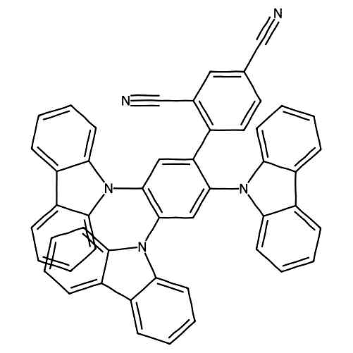 N#Cc1ccc(-c2cc(-n3c4ccccc4c4ccccc43)c(-n3c4ccccc4c4ccccc43)cc2-n2c3ccccc3c3ccccc32)c(C#N)c1